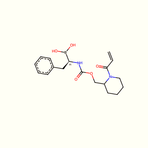 C=CC(=O)N1CCCCC1COC(=O)N[C@@H](Cc1ccccc1)B(O)O